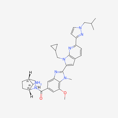 COc1cc(C(=O)N2C[C@H]3CC[C@@H]2[C@@H]3N)cc2nc(-c3cc4ccc(-c5ccn(CC(C)C)n5)nc4n3CC3CC3)n(C)c12